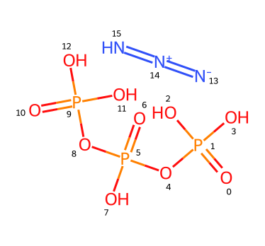 O=P(O)(O)OP(=O)(O)OP(=O)(O)O.[N-]=[N+]=N